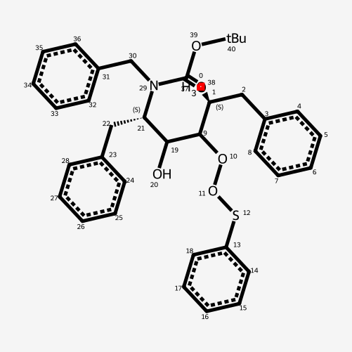 C[C@@H](Cc1ccccc1)C(OOSc1ccccc1)C(O)[C@H](Cc1ccccc1)N(Cc1ccccc1)C(=O)OC(C)(C)C